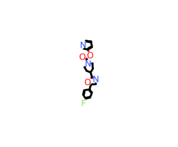 O=C(Oc1cccnc1)N1CCC(C2=NCC(c3ccc(F)cc3)O2)CC1